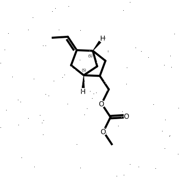 CC=C1C[C@@H]2C[C@H]1CC2COC(=O)OC